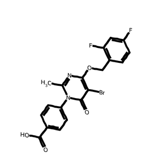 Cc1nc(OCc2ccc(F)cc2F)c(Br)c(=O)n1-c1ccc(C(=O)O)cc1